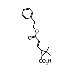 CC1(C)C(C=CC(=O)OCCc2ccccc2)C1C(=O)O